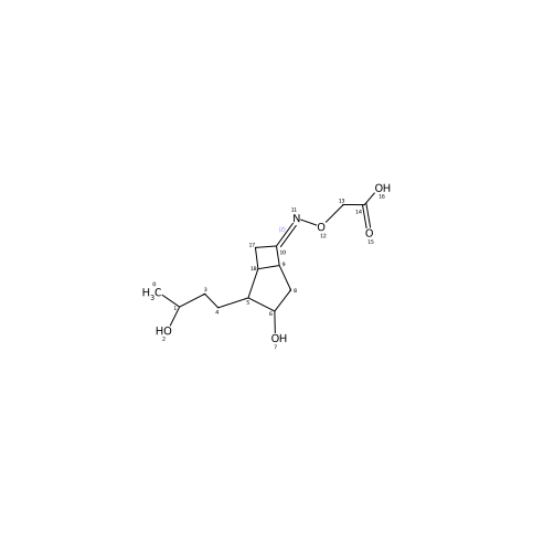 CC(O)CCC1C(O)CC2/C(=N\OCC(=O)O)CC21